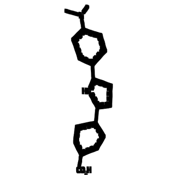 CN(C)c1ccc(-c2ccc(-c3ccc(C(=O)O)cc3)[nH]2)cc1